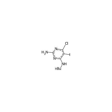 CCCCNc1nc(N)nc(Cl)c1I